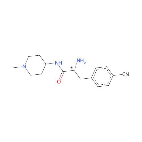 CN1CCC(NC(=O)[C@H](N)Cc2ccc(C#N)cc2)CC1